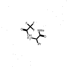 CNC(=O)C(N)C(C)C.O=C(O)C(F)(F)F